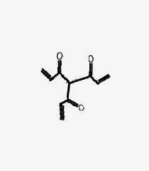 C=CC(=O)[C](C(=O)C=C)C(=O)C=C